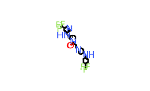 O=C(CCN1CCC(Nc2ccc(C(F)(F)F)cc2)CC1)N1CCC[C@H](Nc2cncc(C(F)(F)F)c2)C1